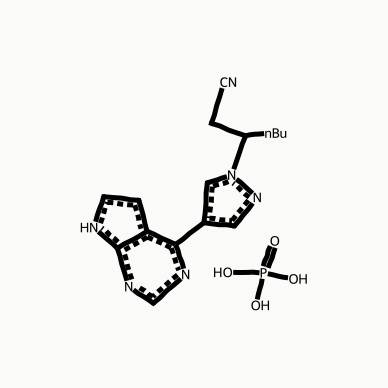 CCCCC(CC#N)n1cc(-c2ncnc3[nH]ccc23)cn1.O=P(O)(O)O